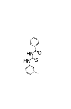 Cc1cccc(NC(=S)NC(=O)c2ccccc2)c1